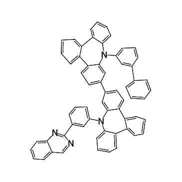 c1ccc(-c2cccc(N3c4ccccc4-c4ccccc4-c4ccc(-c5ccc6c(c5)N(c5cccc(-c7ncc8ccccc8n7)c5)c5ccccc5-c5ccccc5-6)cc43)c2)cc1